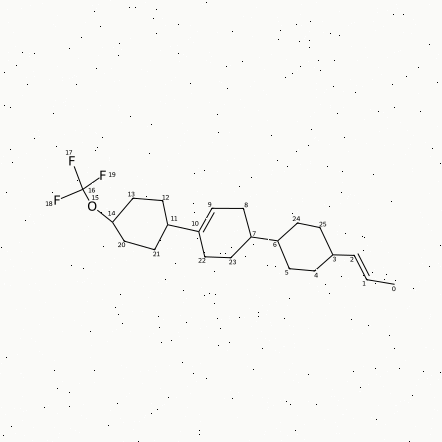 C/C=C/C1CCC(C2CC=C(C3CCC(OC(F)(F)F)CC3)CC2)CC1